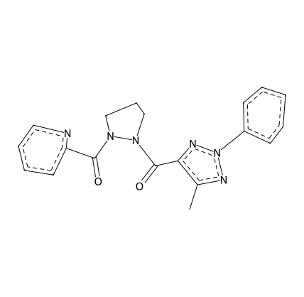 Cc1nn(-c2ccccc2)nc1C(=O)N1CCCN1C(=O)c1ccccn1